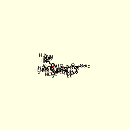 CCC(CSC1CCC1SCC(CC(=O)CCOCCC(C)=O)C(=O)NCCOCCOC(=O)CC[C@H](NC(=O)c1ccc(CCc2c[nH]c3nc(N)[nH]c(=O)c23)cc1)C(=O)O)C(=O)NCCOCCOC(=O)CC[C@H](NC(=O)c1ccc(CCc2c[nH]c3nc(N)[nH]c(=O)c23)cc1)C(=O)O